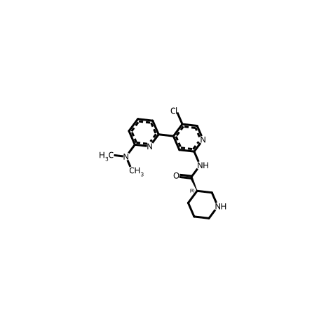 CN(C)c1cccc(-c2cc(NC(=O)[C@@H]3CCCNC3)ncc2Cl)n1